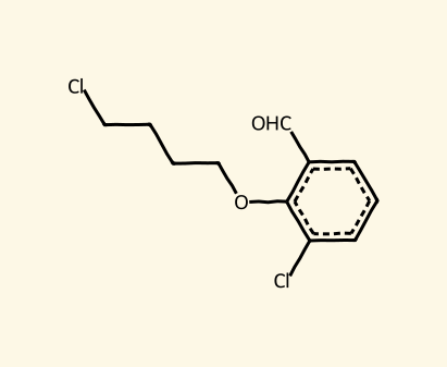 O=Cc1cccc(Cl)c1OCCCCCl